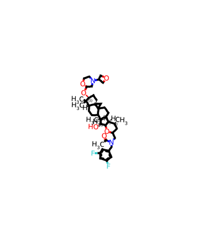 CC(=O)N(Cc1cc(F)cc(F)c1)CC1C[C@@H](C)[C@H]2C(O1)[C@H](O)[C@@]1(C)C3CC[C@H]4C(C)(C)[C@@H](OC5CN(C6COC6)CCO5)CC[C@@]45CC35CC[C@]21C